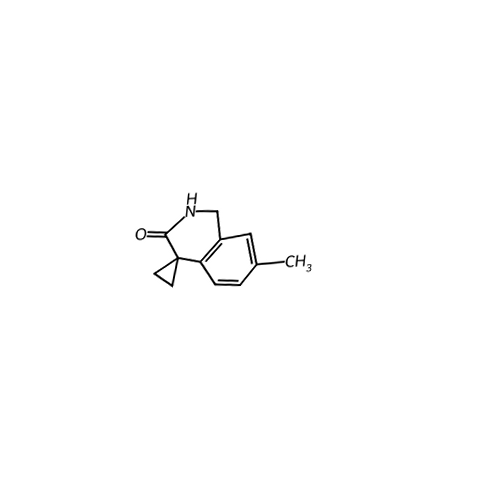 Cc1ccc2c(c1)CNC(=O)C21CC1